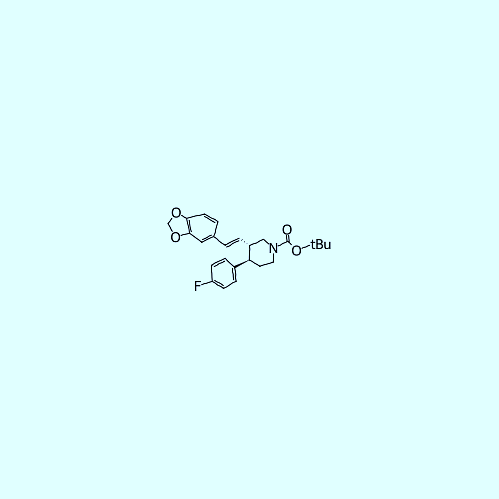 CC(C)(C)OC(=O)N1CC[C@@H](c2ccc(F)cc2)[C@H](/C=C/c2ccc3c(c2)OCO3)C1